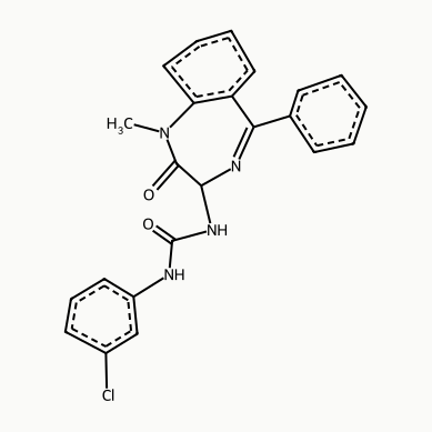 CN1C(=O)C(NC(=O)Nc2cccc(Cl)c2)N=C(c2ccccc2)c2ccccc21